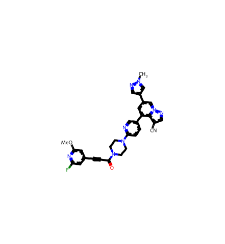 COc1cc(C#CC(=O)N2CCN(c3ccc(-c4cc(-c5cnn(C)c5)cn5ncc(C#N)c45)cn3)CC2)cc(F)n1